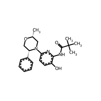 C[C@@H]1CN(c2ccc(O)c(NC(=O)C(C)(C)C)n2)[C@H](c2ccccc2)CO1